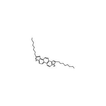 CCCCCCCCc1cc2c(ccc3c2ccc2c4cc(CCCCCCCC)sc4ccc23)s1